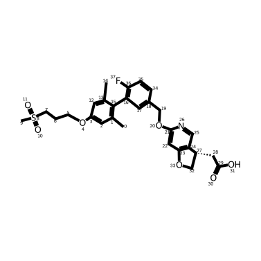 Cc1cc(OCCCS(C)(=O)=O)cc(C)c1-c1cc(COc2cc3c(cn2)[C@H](CC(=O)O)CO3)ccc1F